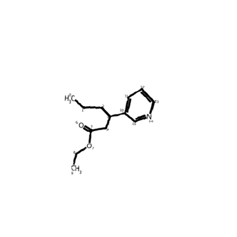 CCCC(CC(=O)OCC)c1cccnc1